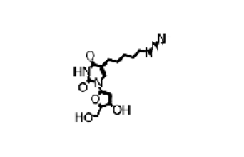 [N-]=[N+]=NCCCCCc1cn([C@H]2CC(O)[C@@H](CO)O2)c(=O)[nH]c1=O